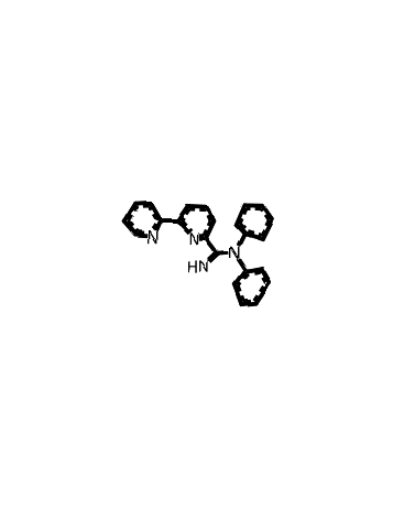 N=C(c1cccc(-c2ccccn2)n1)N(c1ccccc1)c1ccccc1